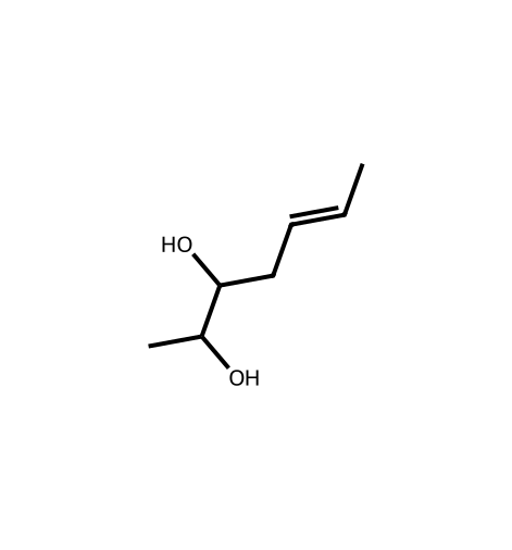 CC=CCC(O)C(C)O